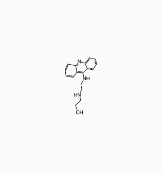 OCCNCCNc1c2ccccc2nc2ccccc12